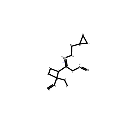 C=CC1(CC)CCC1/C(CN=C)=N/CCC1CC1